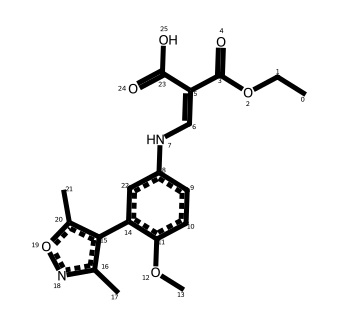 CCOC(=O)/C(=C/Nc1ccc(OC)c(-c2c(C)noc2C)c1)C(=O)O